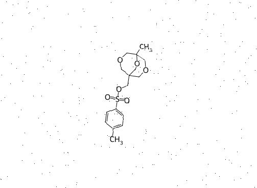 Cc1ccc(S(=O)(=O)OCC23COCC(C)(COC2)OC3)cc1